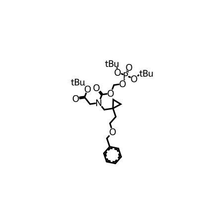 CC(C)(C)OC(=O)CN(CC1(CCOCc2ccccc2)CC1)C(=O)OCOP(=O)(OC(C)(C)C)OC(C)(C)C